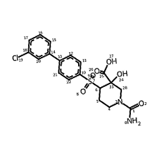 NC(=O)N1CCC(S(=O)(=O)c2ccc(-c3cccc(Cl)c3)cc2)C(O)(C(=O)O)C1